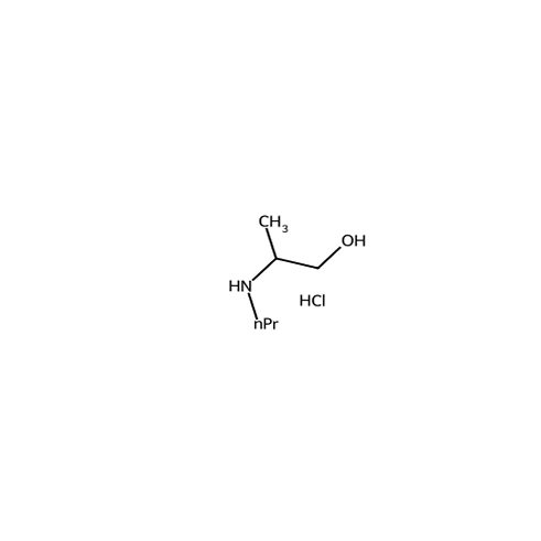 CCCNC(C)CO.Cl